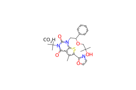 Cc1c(-c2ncco2)sc2c1c(=O)n(C(C)(C)C(=O)O)c(=O)n2CC(OCC(C)(C)O)c1ccccc1